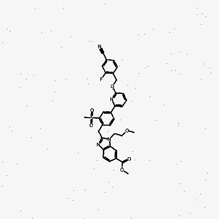 COCCn1c(Cc2ccc(-c3cccc(OCc4ccc(C#N)cc4F)n3)cc2S(C)(=O)=O)nc2ccc(C(=O)OC)cc21